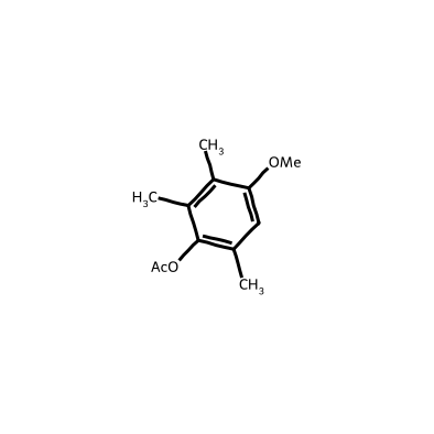 COc1cc(C)c(OC(C)=O)c(C)c1C